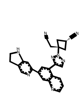 N#CC[C@]1(n2ncc(-c3cc(-c4cc5c(cn4)CCN5)cc4ncccc34)n2)C[C@@H](C#N)C1